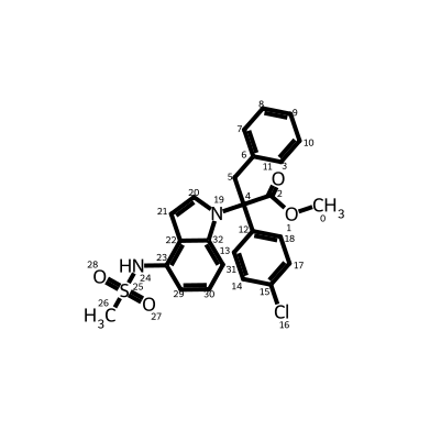 COC(=O)C(Cc1ccccc1)(c1ccc(Cl)cc1)n1ccc2c(NS(C)(=O)=O)cccc21